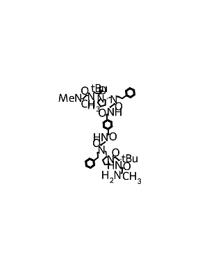 CN[C@@H](C)C(=O)N[C@H](C(=O)N1CCC[C@H]1CN(CCc1ccccc1)C(=O)CNC(=O)c1ccc(C(=O)NCC(=O)N(CCc2ccccc2)C[C@@H]2CCCN2C(=O)[C@@H](NC(=O)[C@H](C)N)C(C)(C)C)cc1)C(C)(C)C